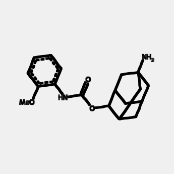 COc1ccccc1NC(=O)OC1C2CC3CC1CC(N)(C3)C2